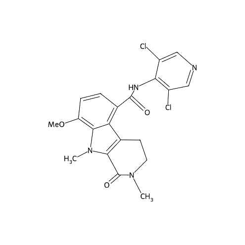 COc1ccc(C(=O)Nc2c(Cl)cncc2Cl)c2c3c(n(C)c12)C(=O)N(C)CC3